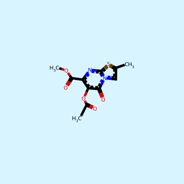 COC(=O)c1nc2sc(C)cn2c(=O)c1OC(C)=O